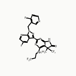 CC1(C(F)(F)F)C(=O)Nc2nc(-c3nn(Cc4cnccc4F)c4ncc(F)cc34)nc(NCCC(F)(F)F)c21